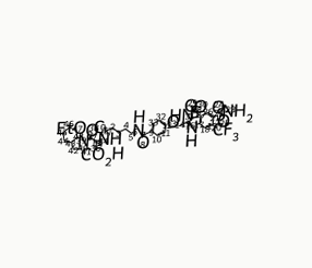 CCOC(=O)[C@H](CCCCNC(=O)c1ccc(OCC2Nc3cc(C(F)(F)F)c(S(N)(=O)=O)cc3S(=O)(=O)N2)cc1)N[C@@H](C)C(=O)N1C(C(=O)O)CC2CCCCC21